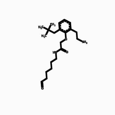 CC(C)(C)Cc1cccc(CCN)c1OCC(=O)NCCCCCC=O